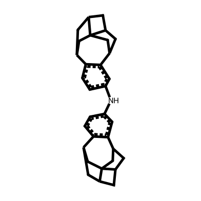 c1cc2c(cc1Nc1ccc3c(c1)C1CC4CC5CC3CC54C1)C1CC3CC4CC2CC43C1